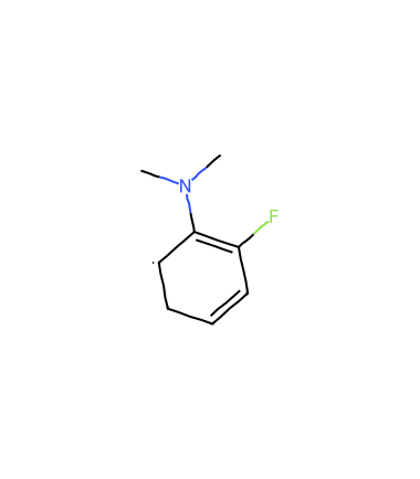 CN(C)C1=C(F)C=CC[CH]1